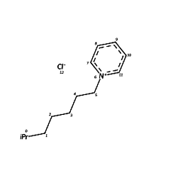 CC(C)CCCCC[n+]1ccccc1.[Cl-]